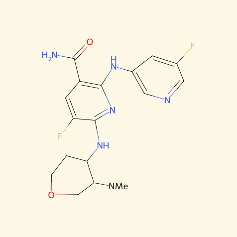 CNC1COCCC1Nc1nc(Nc2cncc(F)c2)c(C(N)=O)cc1F